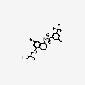 O=C(O)COc1cc(Br)cc2c1CCC[C@H]2NS(=O)(=O)c1cc(F)cc(C(F)(F)F)c1